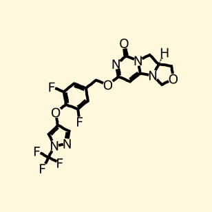 O=c1nc(OCc2cc(F)c(Oc3cnn(C(F)(F)F)c3)c(F)c2)cc2n1C[C@H]1COCN21